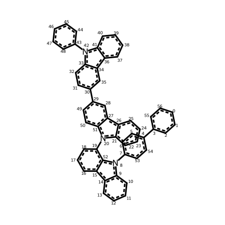 c1ccc(-c2ccc(-n3c4ccccc4c4cccc(-n5c6ccccc6c6cc(-c7ccc8c(c7)c7ccccc7n8-c7ccccc7)ccc65)c43)cc2)cc1